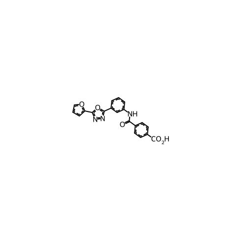 O=C(O)c1ccc(C(=O)Nc2cccc(-c3nnc(-c4ccco4)o3)c2)cc1